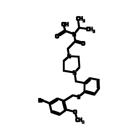 COc1ccc(Br)cc1CSc1ccccc1CN1CCN(CC(=O)N(C(=O)O)C(C)C)CC1